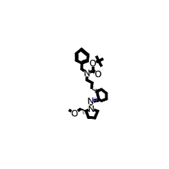 COC[C@@H]1CCCN1/N=C1\CCCC[C@H]1CCCN(Cc1ccccc1)C(=O)OC(C)(C)C